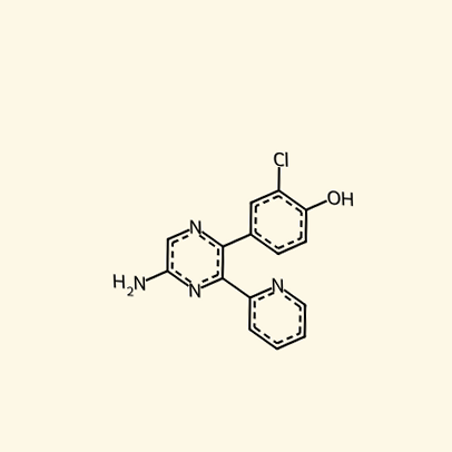 Nc1cnc(-c2ccc(O)c(Cl)c2)c(-c2ccccn2)n1